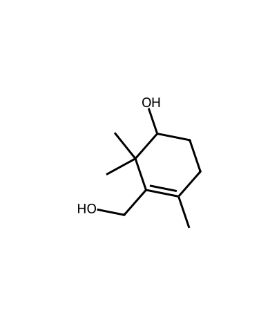 CC1=C(CO)C(C)(C)C(O)CC1